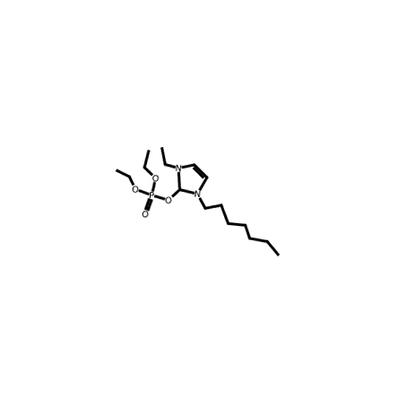 CCCCCCCN1C=CN(CC)C1OP(=O)(OCC)OCC